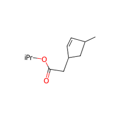 CC1C=CC(CC(=O)OC(C)C)C1